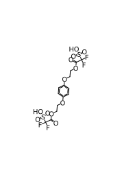 O=C(OCCOc1ccc(OCCOC(=O)C(F)(F)S(=O)(=O)O)cc1)C(F)(F)S(=O)(=O)O